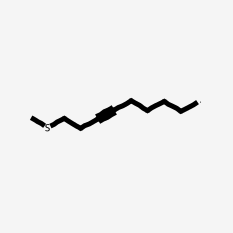 [CH2]CCCCC#CCCSC